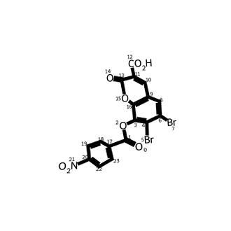 O=C(Oc1c(Br)c(Br)cc2cc(C(=O)O)c(=O)oc12)c1ccc([N+](=O)[O-])cc1